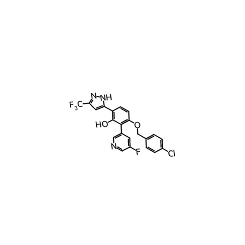 Oc1c(-c2cc(C(F)(F)F)n[nH]2)ccc(OCc2ccc(Cl)cc2)c1-c1cncc(F)c1